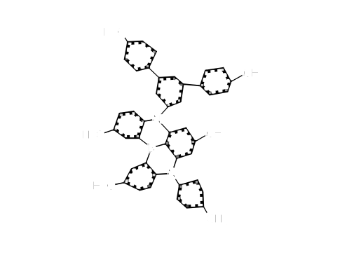 Cc1ccc(-c2cc(-c3ccc(C)cc3)cc(N3c4ccc(C)cc4B4c5cc(C)ccc5N(c5ccc(C)cc5)c5cc(C)cc3c54)c2)cc1